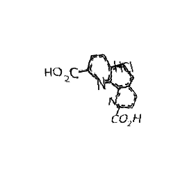 Cl.O=C(O)c1ccc2ccc3ccc(C(=O)O)nc3c2n1